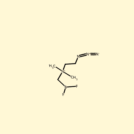 C[N+](C)(CCN=[N+]=[N-])CB(F)F